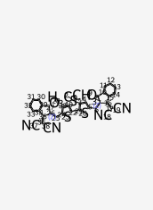 CS1(C)c2cc(/C=C3\C(=O)c4ccccc4C3=C(C#N)C#N)sc2-c2sc(/C=C3\C(=O)c4ccccc4C3=C(C#N)C#N)cc21